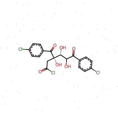 O=C(Cl)C[C@@](O)(C(=O)c1ccc(Cl)cc1)[C@H](O)C(O)C(=O)c1ccc(Cl)cc1